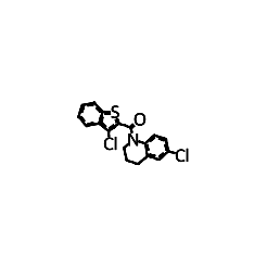 O=C(c1sc2ccccc2c1Cl)N1CCCc2cc(Cl)ccc21